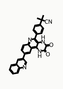 CC(C)(C#N)c1ccc(-c2nc3ccc(-c4cnc5ccccc5c4)cc3c3[nH]c(=O)c(=O)[nH]c23)cc1